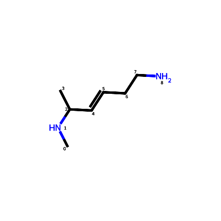 CNC(C)C=CCCN